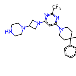 FC(F)(F)c1nc(N2CCC3(CCc4ccccc43)CC2)cc(N2CC(N3CCNCC3)C2)n1